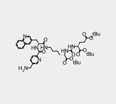 CC(C)(C)OC(=O)CC[C@H](NC(=O)N[C@@H](CCCCNC(=O)[C@H](Cc1cnc2ccccc2c1)NC(=O)c1ccc(CN)cn1)C(=O)OC(C)(C)C)C(=O)OC(C)(C)C